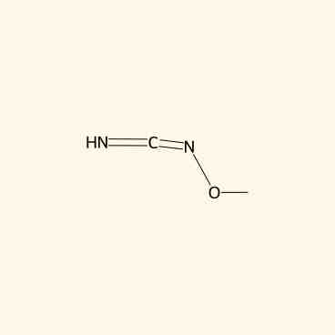 CON=C=N